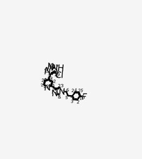 Fc1ccc(CCn2cnc(-c3cc(-c4nn[nH]c4Cl)ccn3)c2)cc1